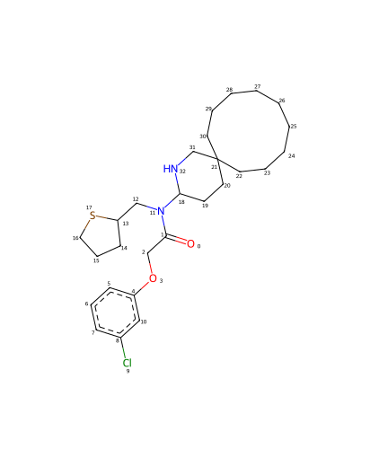 O=C(COc1cccc(Cl)c1)N(CC1CCCS1)C1CCC2(CCCCCCCCC2)CN1